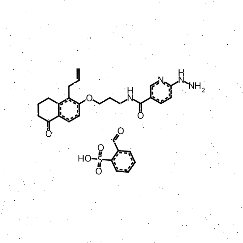 C=CCc1c(OCCCNC(=O)c2ccc(NN)nc2)ccc2c1CCCC2=O.O=Cc1ccccc1S(=O)(=O)O